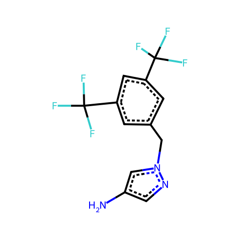 Nc1cnn(Cc2cc(C(F)(F)F)cc(C(F)(F)F)c2)c1